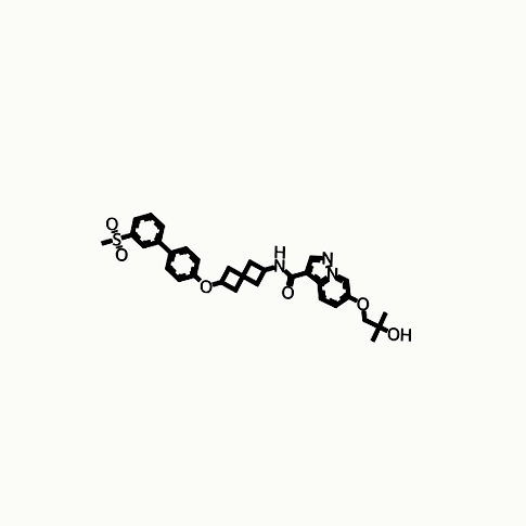 CC(C)(O)COc1ccc2c(C(=O)NC3CC4(C3)CC(Oc3ccc(-c5cccc(S(C)(=O)=O)c5)cc3)C4)cnn2c1